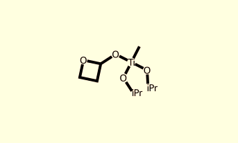 CC(C)[O][Ti]([CH3])([O]C(C)C)[O]C1CCO1